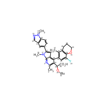 Cc1nc2c(cc(-c3ccc4c(cnn4C)c3)n2C)c(-c2cc(F)c3c(c2C)CCCO3)c1[C@H](OC(C)(C)C)C(=O)O